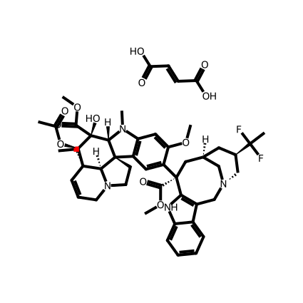 CC[C@]12C=CCN3CC[C@@]4(c5cc([C@@]6(C(=O)OC)C[C@H]7C[C@@H](C(C)(F)F)C[N@](Cc8c6[nH]c6ccccc86)C7)c(OC)cc5N(C)[C@H]4[C@@](O)(C(=O)OC)[C@@H]1OC(C)=O)[C@@H]32.O=C(O)/C=C/C(=O)O